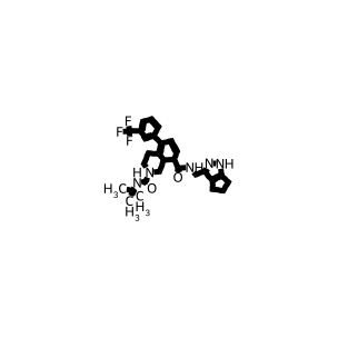 CC(C)(C)NC(=O)N1CCC2=C(c3cccc(C(F)(F)F)c3)C=CC(C(=O)NCc3n[nH]c4c3CCC4)C2C1